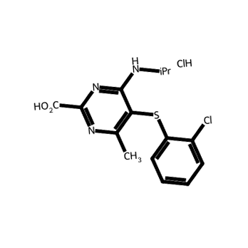 Cc1nc(C(=O)O)nc(NC(C)C)c1Sc1ccccc1Cl.Cl